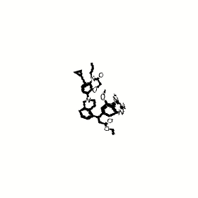 CCCN1C(=O)COc2c(N3CCc4c(cccc4C(CC(=O)OCC)c4cc(OC)c5c(c4)nnn5C)C3)ccc(C3CC3)c21